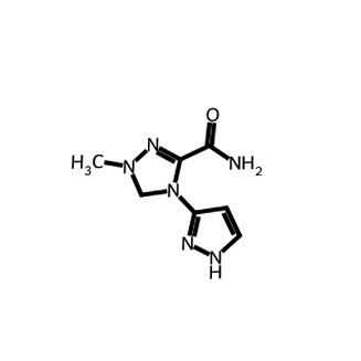 CN1CN(c2cc[nH]n2)C(C(N)=O)=N1